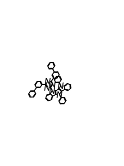 C1=C(c2ccccc2)C=C(c2nc(-c3cccc(-c4ccccc4)c3)nc(-n3c4ccccc4c4c3c3c(c5ccccc5n3-c3ccccc3)n4-c3ccccc3)n2)CC1